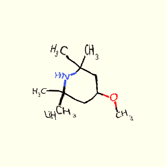 COC1CC(C)(C)NC(C)(C)C1.[LiH]